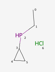 CCPC1CC1.Cl